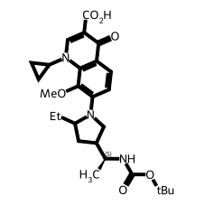 CCC1CC([C@H](C)NC(=O)OC(C)(C)C)CN1c1ccc2c(=O)c(C(=O)O)cn(C3CC3)c2c1OC